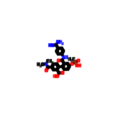 CN(C)C(=O)c1ccc(-c2ccccc2C(=O)Nc2ccc(C(=N)N)cc2)c(C(=O)O)c1.CS(=O)(=O)O